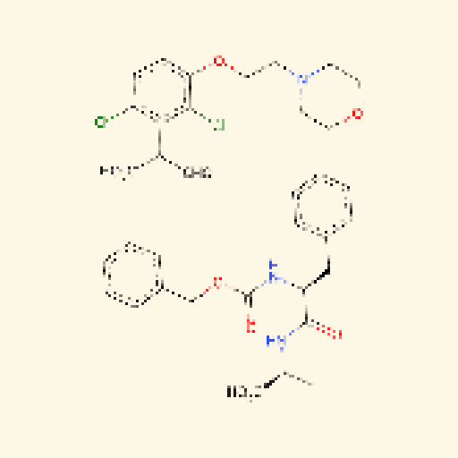 C[C@H](NC(=O)[C@H](Cc1ccccc1)NC(=O)OCc1ccccc1)C(=O)O.O=CC(C(=O)O)c1c(Cl)ccc(OCCN2CCOCC2)c1Cl